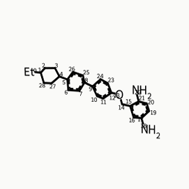 CCC1CCC(c2ccc(-c3ccc(OCc4cc(N)ccc4N)cc3)cc2)CC1